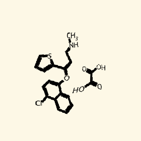 CNCCC(Oc1ccc(Cl)c2ccccc12)c1cccs1.O=C(O)C(=O)O